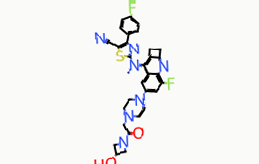 CN(c1nc(-c2ccc(F)cc2)c(C#N)s1)c1c2c(nc3c(F)cc(N4CCN(CC(=O)N5CC(O)C5)CC4)cc13)CC2